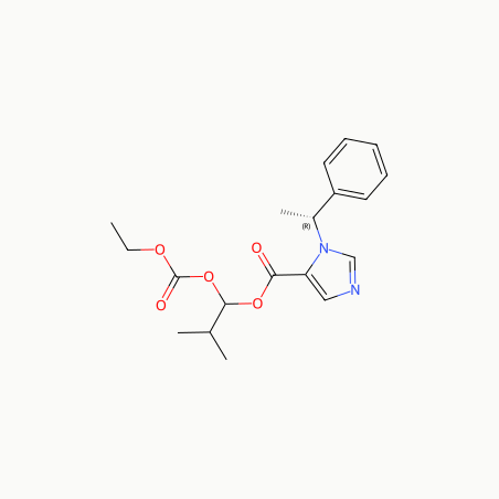 CCOC(=O)OC(OC(=O)c1cncn1[C@H](C)c1ccccc1)C(C)C